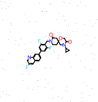 O=C1CC2(CCN1Cc1c(F)cc(-c3ccc4cc(F)cnc4c3)cc1F)CN(C1CC1)C(=O)CO2